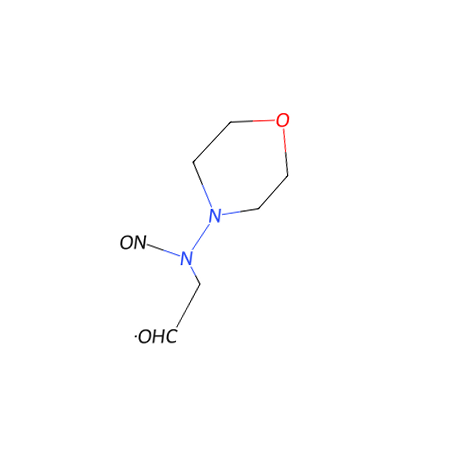 O=[C]CN(N=O)N1CCOCC1